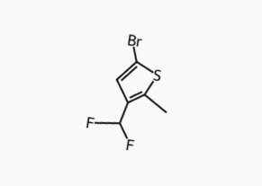 Cc1sc(Br)cc1C(F)F